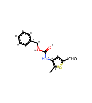 Cc1sc(C=O)cc1NC(=O)OCc1ccccc1